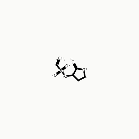 C=CS(=O)(=O)OC1CCOC1=O